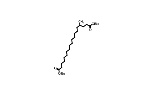 CC(C)COC(=O)CCCCCCCCCCCCCCC(C)CCC(=O)OCC(C)C